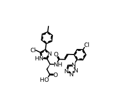 Cc1ccc(-c2nc([C@H](CC(=O)O)NC(=O)/C=C/c3cc(Cl)ccc3-n3cnnn3)[nH]c2Cl)cc1